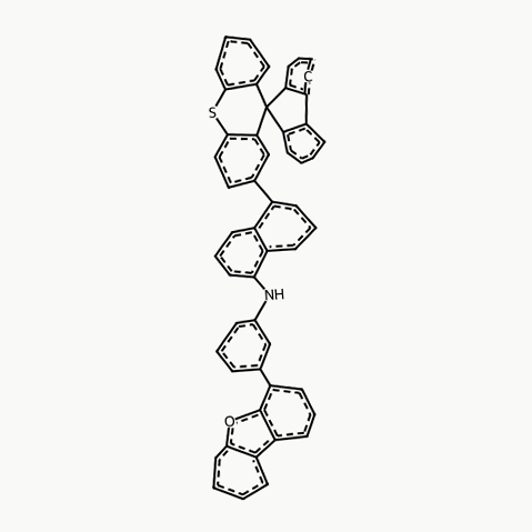 c1cc(Nc2cccc3c(-c4ccc5c(c4)C4(c6ccccc6S5)c5ccccc5-c5ccccc54)cccc23)cc(-c2cccc3c2oc2ccccc23)c1